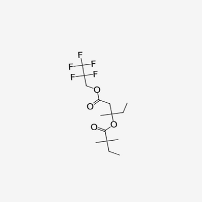 CCC(C)(CC(=O)OCC(F)(F)C(F)(F)F)OC(=O)C(C)(C)CC